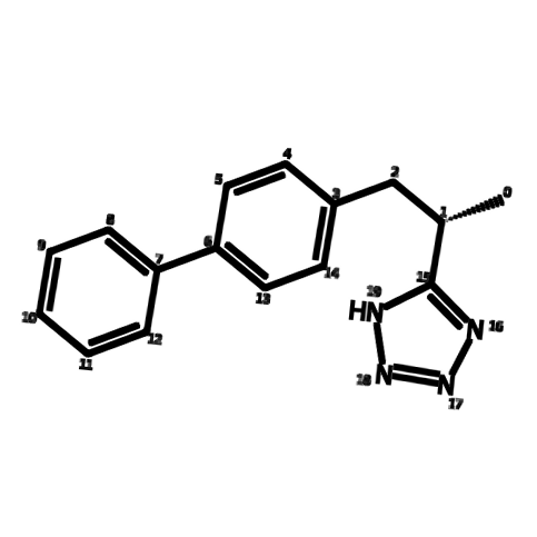 C[C@@H](Cc1ccc(-c2ccccc2)cc1)c1nnn[nH]1